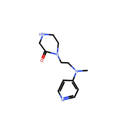 CN(CCN1CCNCC1=O)c1ccncc1